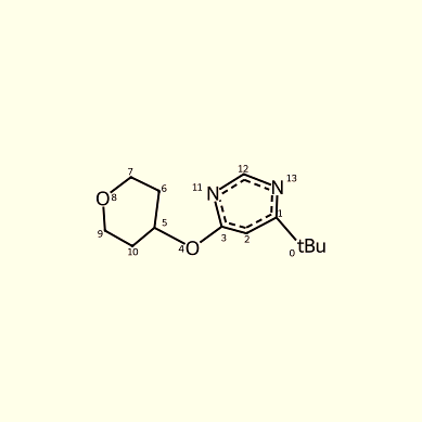 CC(C)(C)c1cc(OC2CCOCC2)ncn1